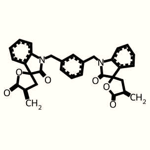 C=C1CC2(OC1=O)C(=O)N(Cc1cccc(CN3C(=O)C4(CC(=C)C(=O)O4)c4ccccc43)c1)c1ccccc12